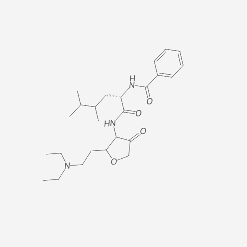 CCN(CC)CCC1OCC(=O)C1NC(=O)[C@H](CC(C)C(C)C)NC(=O)c1ccccc1